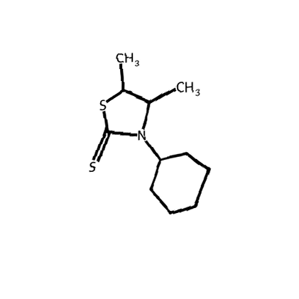 CC1SC(=S)N(C2CCCCC2)C1C